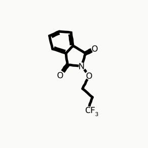 O=C1c2ccccc2C(=O)N1OCCC(F)(F)F